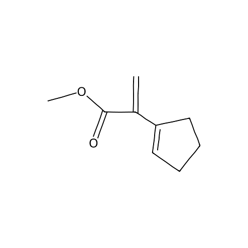 C=C(C(=O)OC)C1=CCCC1